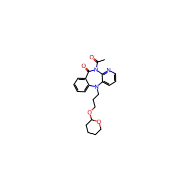 CC(=O)N1C(=O)c2ccccc2N(CCCOC2CCCCO2)c2cccnc21